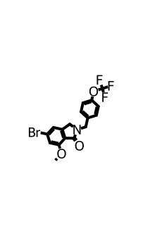 COc1cc(Br)cc2c1C(=O)N(Cc1ccc(OC(F)(F)F)cc1)C2